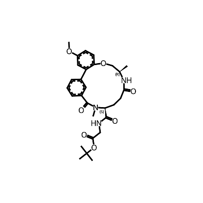 COc1ccc2c(c1)-c1cccc(c1)C(=O)N(C)[C@H](C(=O)NCC(=O)OC(C)(C)C)CCC(=O)N[C@H](C)CO2